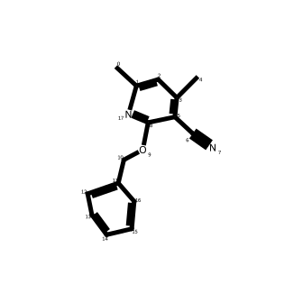 Cc1cc(C)c(C#N)c(OCc2ccccc2)n1